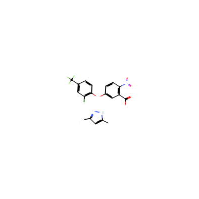 Cc1cc(C)[nH]n1.O=C(O)c1cc(Oc2ccc(C(F)(F)F)cc2Cl)ccc1[N+](=O)[O-]